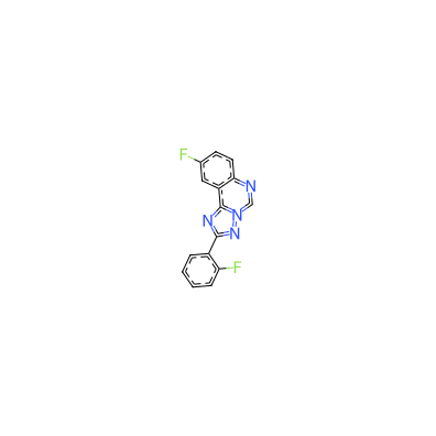 Fc1ccc2ncn3nc(-c4ccccc4F)nc3c2c1